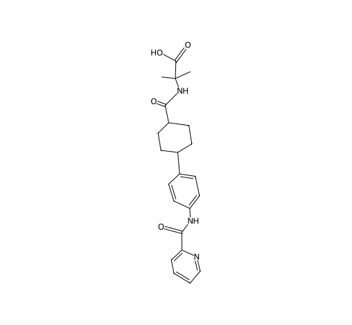 CC(C)(NC(=O)C1CCC(c2ccc(NC(=O)c3ccccn3)cc2)CC1)C(=O)O